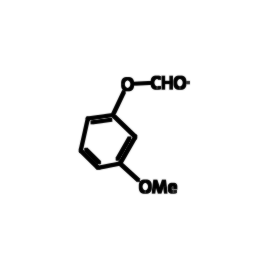 COc1cccc(O[C]=O)c1